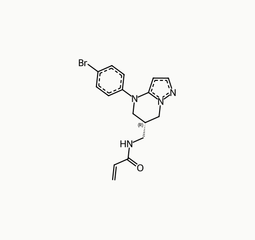 C=CC(=O)NC[C@@H]1CN(c2ccc(Br)cc2)c2ccnn2C1